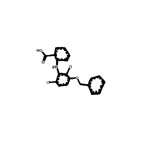 O=C(O)c1ccccc1Nc1c(Cl)ccc(OCc2ccccc2)c1Cl